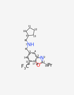 CC(C)c1nc2cc(CNCC3CCCC3)cc(C(F)(F)F)c2o1